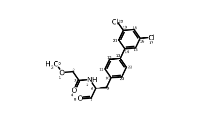 COCC(=O)N[C@H](C=O)Cc1ccc(-c2cc(Cl)cc(Cl)c2)cc1